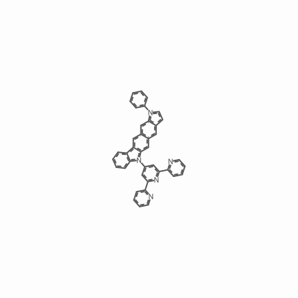 c1ccc(-n2ccc3cc4cc5c(cc4cc32)c2ccccc2n5-c2cc(-c3ccccn3)nc(-c3ccccn3)c2)cc1